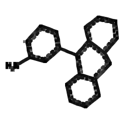 Nc1[c]ccc(-c2c3ccccc3cc3ccccc23)c1